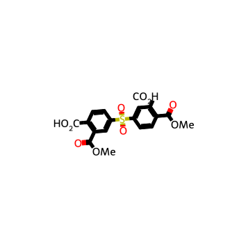 COC(=O)c1ccc(S(=O)(=O)c2ccc(C(=O)O)c(C(=O)OC)c2)cc1C(=O)O